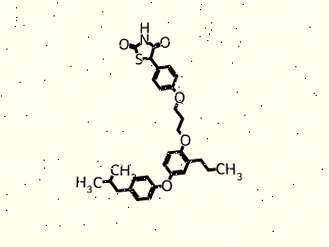 CCCc1cc(Oc2ccc(CC(C)C)cc2)ccc1OCCCOc1ccc(C2SC(=O)NC2=O)cc1